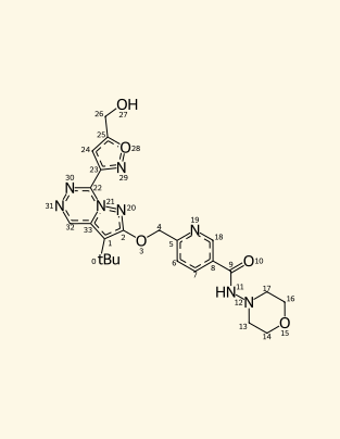 CC(C)(C)c1c(OCc2ccc(C(=O)NN3CCOCC3)cn2)nn2c(-c3cc(CO)on3)nncc12